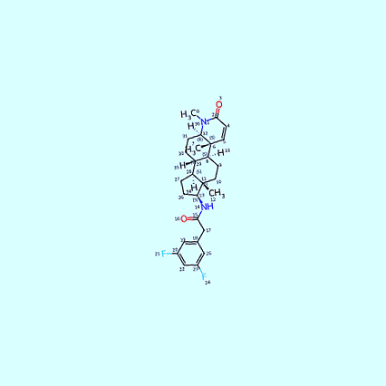 CN1C(=O)C=C[C@]2(C)[C@H]3CC[C@]4(C)[C@@H](NC(=O)Cc5cc(F)cc(F)c5)CC[C@H]4[C@@H]3CC[C@@H]12